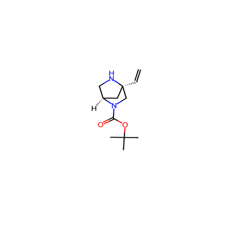 C=C[C@]12C[C@H](CN1)N(C(=O)OC(C)(C)C)C2